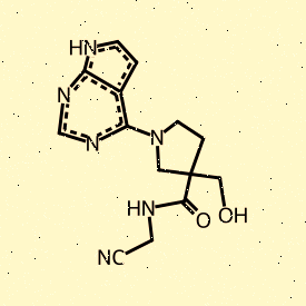 N#CCNC(=O)C1(CO)CCN(c2ncnc3[nH]ccc23)C1